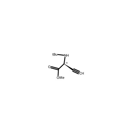 C#C[C@H](NC(C)(C)C)C(=O)OC